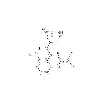 CC(C)C1=CC(C)c2cccc3cc(C(C)C)cc1c23.N=C=N